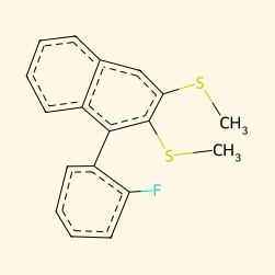 CSc1cc2ccccc2c(-c2ccccc2F)c1SC